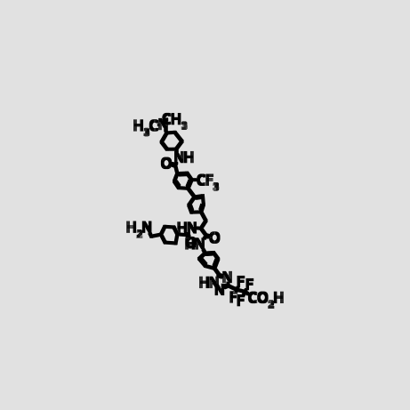 CN(C)C1CCC(NC(=O)c2ccc(-c3ccc(CC(NC(=O)C4CCC(CN)CC4)C(=O)Nc4ccc(-c5nc(C(F)(F)C(F)(F)C(=O)O)n[nH]5)cc4)cc3)c(C(F)(F)F)c2)CC1